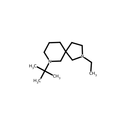 CCN1CCC2(CCCN(C(C)(C)C)C2)C1